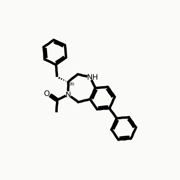 CC(=O)N1Cc2cc(-c3ccccc3)ccc2NC[C@H]1Cc1ccccc1